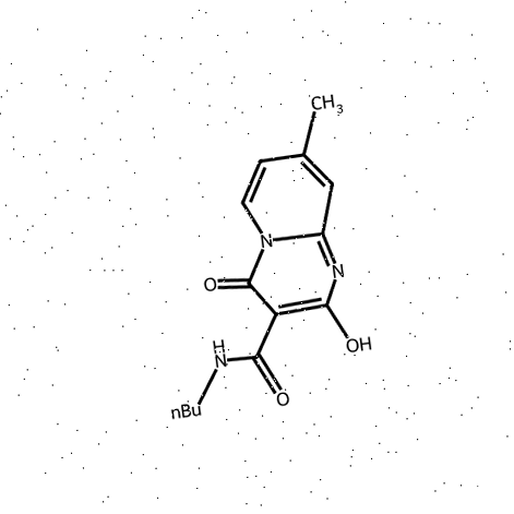 CCCCNC(=O)c1c(O)nc2cc(C)ccn2c1=O